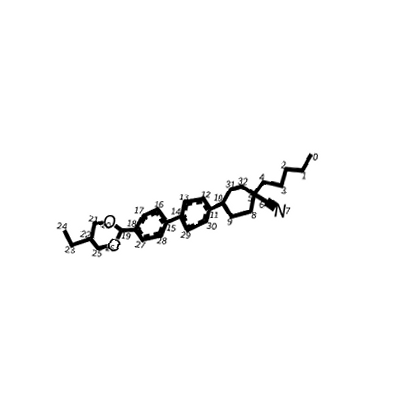 CCCCCC1(C#N)CCC(c2ccc(-c3ccc(C4OCC(CC)CO4)cc3)cc2)CC1